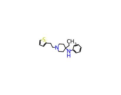 CCC1(Nc2ccccc2)CCN(CCc2cccs2)CC1